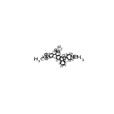 CCS(=O)(=O)c1ccc(C(C(N)=O)c2ccc(-c3ccccc3OC3CCN(C)CC3)c(Cl)c2)cc1